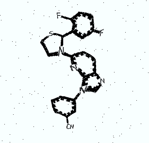 N#Cc1cccc(-n2cnc3ccc(N4CCSC4c4cc(F)ccc4F)nc32)c1